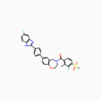 Cc1c(C(=O)N2CCOc3ccc(-c4ccc(-c5nc6cc(F)ccc6[nH]5)cc4)cc3C2)ccc(S(C)(=O)=O)c1F